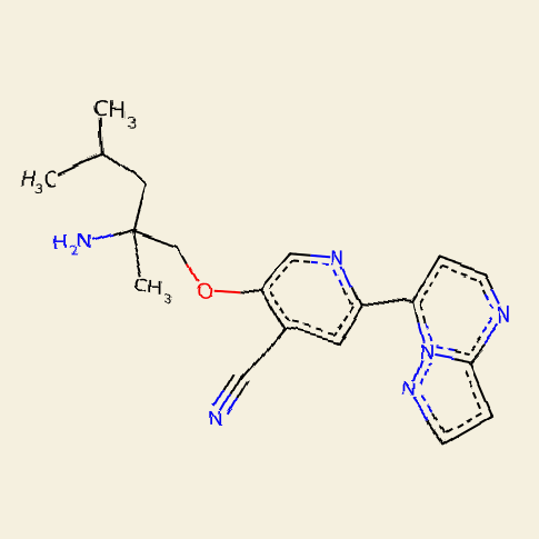 CC(C)CC(C)(N)COc1cnc(-c2ccnc3ccnn23)cc1C#N